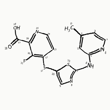 Cc1ccnc(Nc2ncc(Sc3ccnc(C(=O)O)c3F)s2)c1